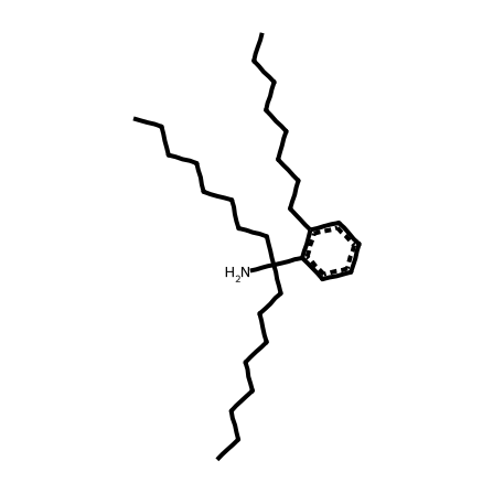 CCCCCCCCc1ccccc1C(N)(CCCCCCCC)CCCCCCCC